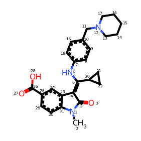 CN1C(=O)C(=C(Nc2ccc(CN3CCCCC3)cc2)C2CC2)c2cc(C(=O)O)ccc21